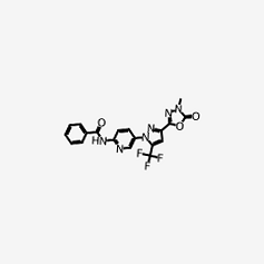 Cn1nc(-c2cc(C(F)(F)F)n(-c3ccc(NC(=O)c4ccccc4)nc3)n2)oc1=O